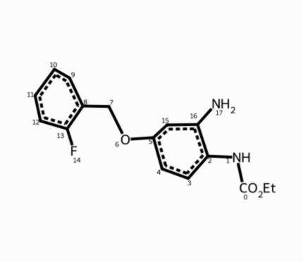 CCOC(=O)Nc1ccc(OCc2ccccc2F)cc1N